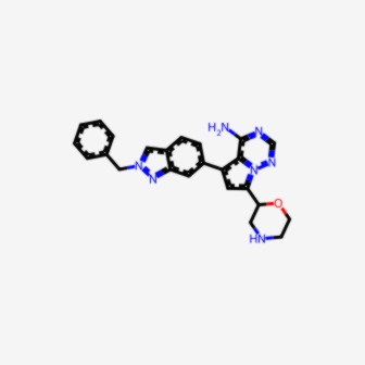 Nc1ncnn2c(C3CNCCO3)cc(-c3ccc4cn(Cc5ccccc5)nc4c3)c12